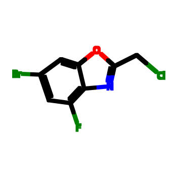 Fc1cc(Br)cc2oc(CCl)nc12